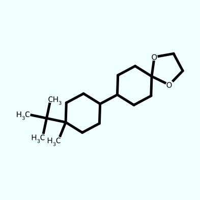 CC(C)(C)C1(C)CCC(C2CCC3(CC2)OCCO3)CC1